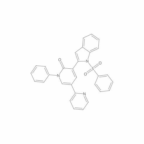 O=c1c(-c2cc3ccccc3n2S(=O)(=O)c2ccccc2)cc(-c2ccccn2)cn1-c1ccccc1